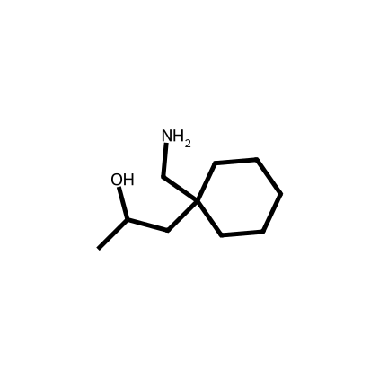 CC(O)CC1(CN)CCCCC1